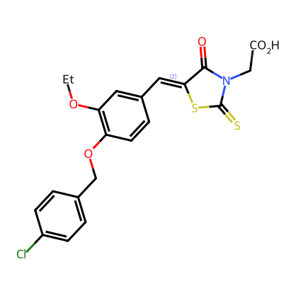 CCOc1cc(/C=C2\SC(=S)N(CC(=O)O)C2=O)ccc1OCc1ccc(Cl)cc1